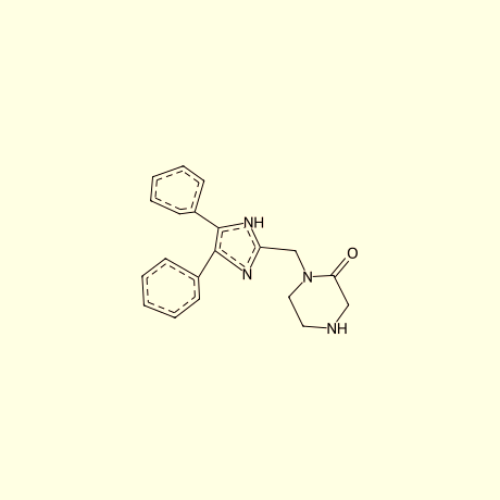 O=C1CNCCN1Cc1nc(-c2ccccc2)c(-c2ccccc2)[nH]1